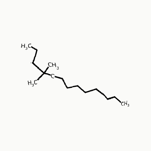 CC[CH]C(C)(C)CCCCCCCCC